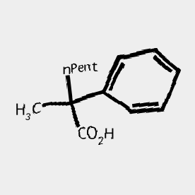 CCCCCC(C)(C(=O)O)c1ccccc1